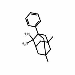 CC12CC3CC(C)(C1)CC(c1ccccc1)(C2)C3(N)N